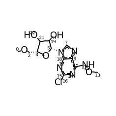 COC[C@H]1O[C@@H](n2cnc3c(NOC)nc(Cl)nc32)C(O)C1O